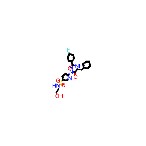 O=C(N[C@@H](Cc1ccccc1)C(=O)Nc1ccc(S(=O)(=O)NCCO)cn1)c1ccc(F)cc1